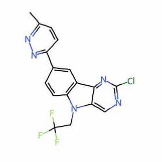 Cc1ccc(-c2ccc3c(c2)c2nc(Cl)ncc2n3CC(F)(F)F)nn1